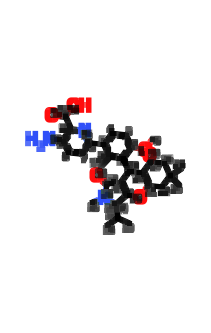 COc1ccc(-c2ccc(N)c(C(=O)O)n2)c(C)c1[C@H]1C2=C(CC(C)(C)CC2=O)OC2=C1C(=O)N(C)[C@@H]2C(C)C